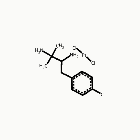 CC(C)(N)C(N)Cc1ccc(Cl)cc1.[Cl][Pt][Cl]